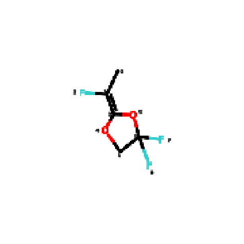 C/C(F)=C1/OCC(F)(F)O1